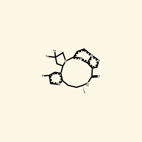 [2H]C1([2H])CC2c3cc(F)cnc3CC[C@@H](C)NC(=O)c3cnn4ccc(nc34)N2C1